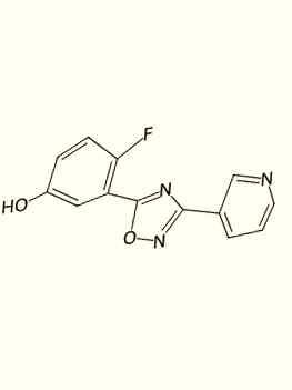 Oc1ccc(F)c(-c2nc(-c3cccnc3)no2)c1